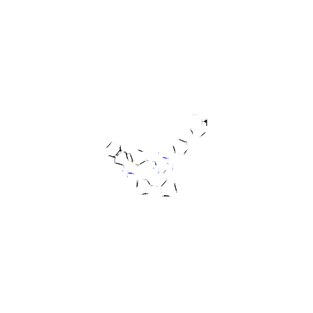 C#C/C=C\C(=C/C)c1ccc(-c2nc(-c3ccc(-c4ccccc4)cc3)nc(-c3cccc4sc5ccc(-c6nc7ccccc7s6)cc5c34)n2)cc1